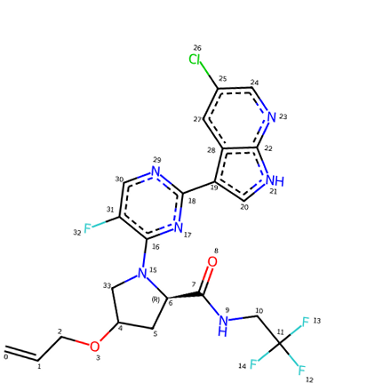 C=CCOC1C[C@H](C(=O)NCC(F)(F)F)N(c2nc(-c3c[nH]c4ncc(Cl)cc34)ncc2F)C1